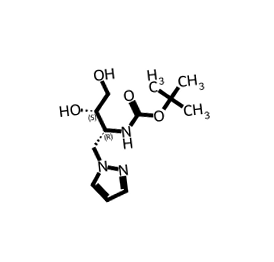 CC(C)(C)OC(=O)N[C@H](Cn1cccn1)[C@H](O)CO